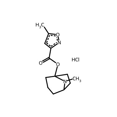 Cc1cc(C(=O)OC23CCCC(CC2)N3C)no1.Cl